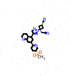 CS(=O)(=O)c1ccc(-c2cc(-c3cnn([C@]4(CC#N)C[C@@H](C#N)C4)n3)c3cccnc3c2)nc1